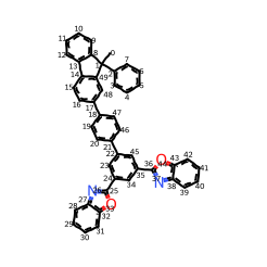 CC1(c2ccccc2)c2ccccc2-c2ccc(-c3ccc(-c4cc(-c5nc6ccccc6o5)cc(-c5nc6ccccc6o5)c4)cc3)cc21